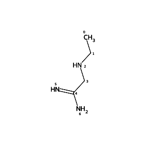 CCNCC(=N)N